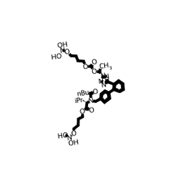 CCCCC(=O)N(Cc1ccc(-c2ccccc2-c2nnn(C(C)OC(=O)OCCCCON(O)O)n2)cc1)[C@H](C(=O)OCCCCON(O)O)C(C)C